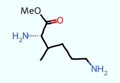 COC(=O)[C@@H](N)C(C)CCCN